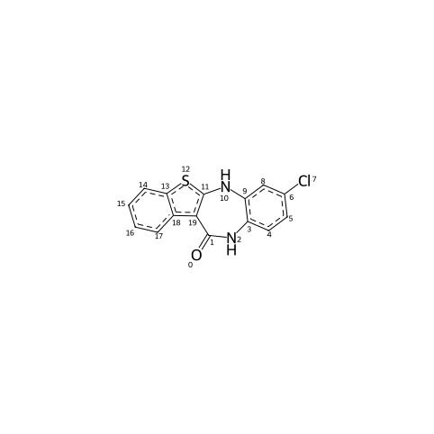 O=C1Nc2ccc(Cl)cc2Nc2sc3ccccc3c21